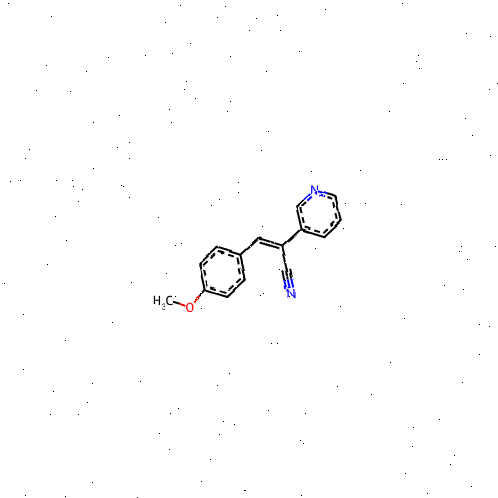 COc1ccc(C=C(C#N)c2cccnc2)cc1